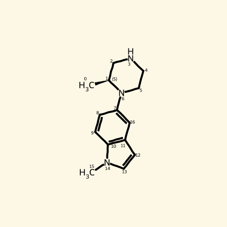 C[C@H]1CNCCN1c1ccc2c(ccn2C)c1